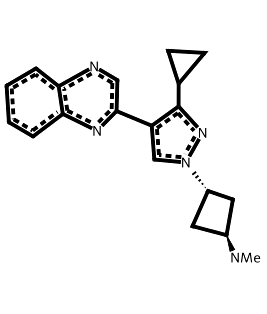 CN[C@H]1C[C@H](n2cc(-c3cnc4ccccc4n3)c(C3CC3)n2)C1